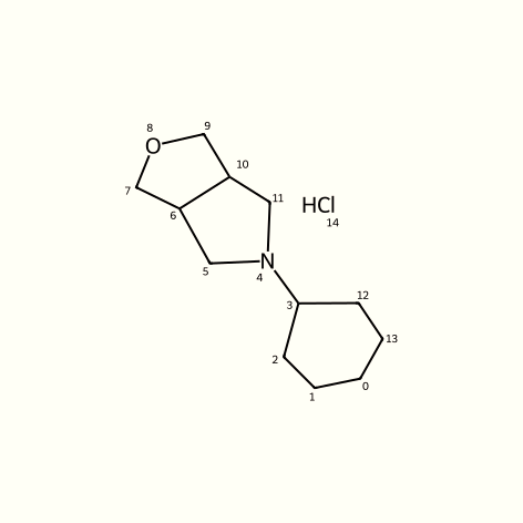 C1CCC(N2CC3COCC3C2)CC1.Cl